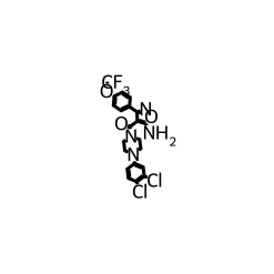 Nc1onc(-c2ccc(OC(F)(F)F)cc2)c1C(=O)N1CCN(c2ccc(Cl)c(Cl)c2)CC1